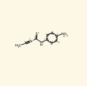 CC#[N+]C(=S)Nc1ccc([N+](=O)[O-])cc1